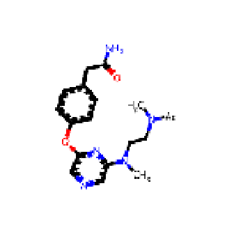 CC(=O)N(C)CCN(C)c1cncc(Oc2ccc(CC(N)=O)cc2)n1